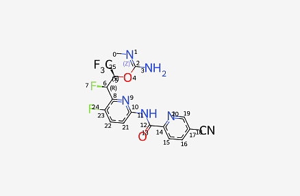 C/N=C(/N)O[C@@H]([C@H](F)c1nc(NC(=O)c2ccc(C#N)cn2)ccc1F)C(F)(F)F